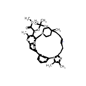 COC(=O)[C@@H](OC(C)(C)C)c1c(C)nc2cc3nn2c1N1CCC(C)(CC/C=C/CCc2nc(C)c(C)n2-c2cccc-3c2)CC1